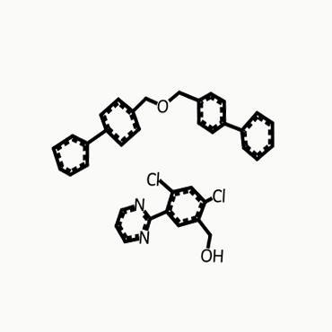 OCc1cc(-c2ncccn2)c(Cl)cc1Cl.c1ccc(-c2ccc(COCc3ccc(-c4ccccc4)cc3)cc2)cc1